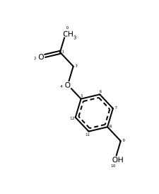 CC(=O)COc1ccc(CO)cc1